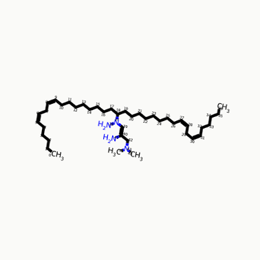 CCCCC/C=C\C/C=C\CCCCCCCCC(CCCCCCCC/C=C\C/C=C\CCCCC)N(N)/C=C(\N)CN(C)C